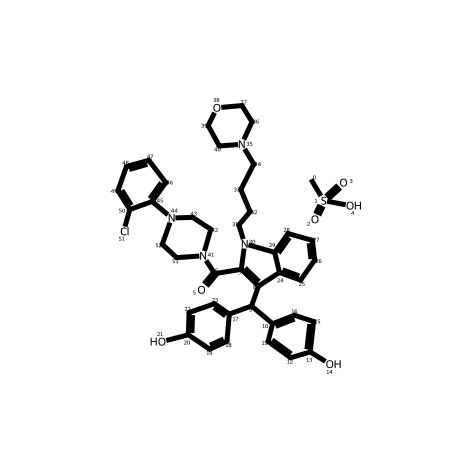 CS(=O)(=O)O.O=C(c1c(C(c2ccc(O)cc2)c2ccc(O)cc2)c2ccccc2n1CCCCN1CCOCC1)N1CCN(c2ccccc2Cl)CC1